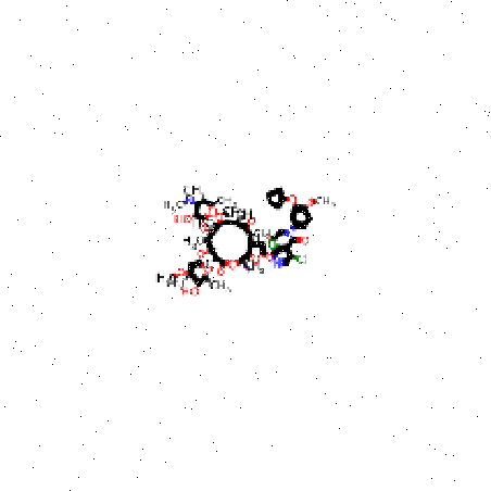 COc1ccc(N(CCS[C@@H]2C(=O)O[C@@]3(C)[C@H]2[C@@H](C)C(=O)[C@H](C)C[C@@](C)(OC)[C@H](O[C@@H]2O[C@H](C)C[C@H](N(C)C)[C@H]2O)C(C)[C@H](O[C@H]2C[C@@](C)(OC)[C@@H](O)[C@H](C)O2)[C@@H](C)C(=O)O[C@@H]3I)C(=O)c2c(Cl)cncc2Cl)cc1OC1CCCC1